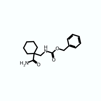 NC(=O)C1(CNC(=O)OCc2ccccc2)CCCCC1